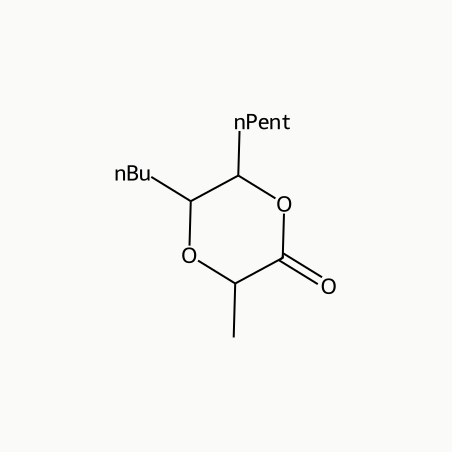 CCCCCC1OC(=O)C(C)OC1CCCC